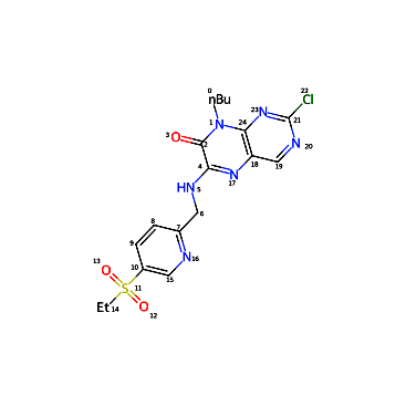 CCCCn1c(=O)c(NCc2ccc(S(=O)(=O)CC)cn2)nc2cnc(Cl)nc21